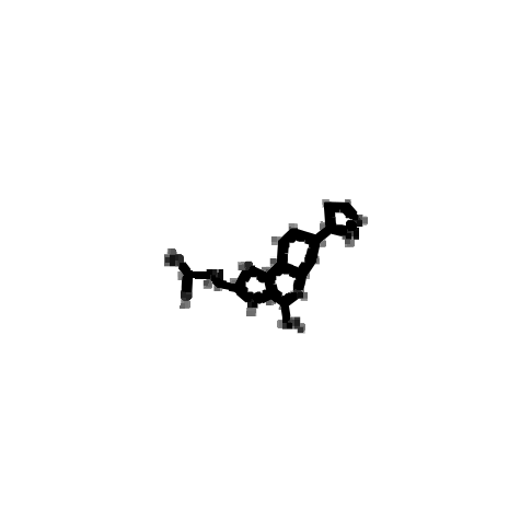 Nc1nc2cc(-c3ccn[nH]3)ccc2c2sc(CNC(=O)O)nc12